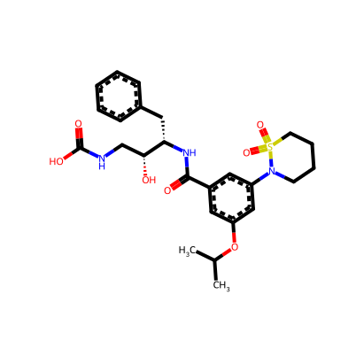 CC(C)Oc1cc(C(=O)N[C@@H](Cc2ccccc2)[C@H](O)CNC(=O)O)cc(N2CCCCS2(=O)=O)c1